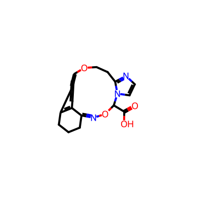 O=C(O)C1O/N=C2/CCCc3cc(ccc32)OCCc2nccn21